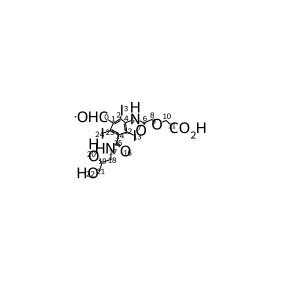 O=[C]c1c(I)c(NC(=O)COCC(=O)O)c(I)c(C(=O)NCC(O)CO)c1I